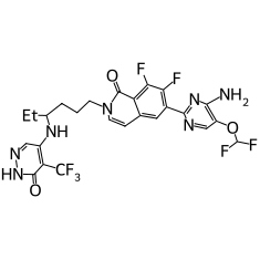 CCC(CCCn1ccc2cc(-c3ncc(OC(F)F)c(N)n3)c(F)c(F)c2c1=O)Nc1cn[nH]c(=O)c1C(F)(F)F